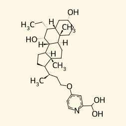 CC[C@H]1[C@@H](O)[C@@H]2[C@H](CC[C@]3(C)[C@@H]([C@H](C)CCOc4ccnc(C(O)O)c4)CC[C@@H]23)[C@@]2(C)CC[C@@H](O)C[C@@H]12